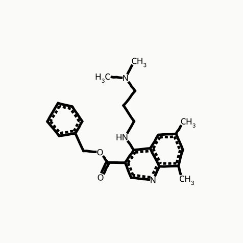 Cc1cc(C)c2ncc(C(=O)OCc3ccccc3)c(NCCCN(C)C)c2c1